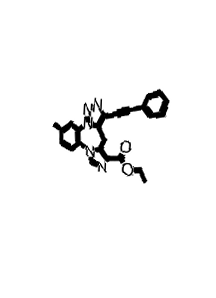 CCOC(=O)c1ncn2c1Cc1c(C#Cc3ccccc3)nnn1-c1cc(C)ccc1-2